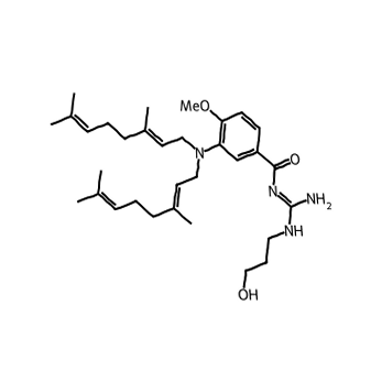 COc1ccc(C(=O)/N=C(\N)NCCCO)cc1N(C/C=C(\C)CCC=C(C)C)C/C=C(\C)CCC=C(C)C